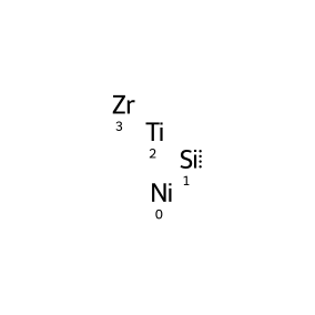 [Ni].[Si].[Ti].[Zr]